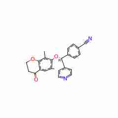 Cc1cc2c(c(C)c1O[C@@H](c1ccncc1)c1ccc(C#N)cc1)OCCC2=O